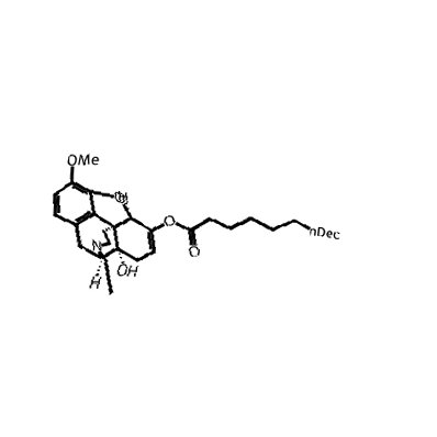 CCCCCCCCCCCCCCCC(=O)OC1=CC[C@@]2(O)[C@H]3Cc4ccc(OC)c5c4[C@@]2(CCN3C)[C@H]1O5